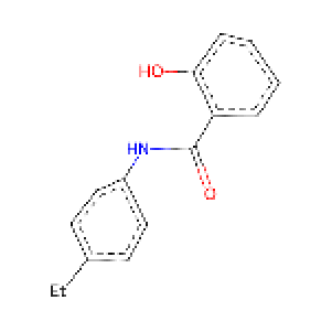 CCc1ccc(NC(=O)c2ccccc2O)cc1